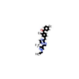 C#CCn1cc(-c2cnc3c(Cc4ccc(C(=O)C5CCC(CC)CC5)c(CC)c4)nccn23)c(C(F)(F)F)n1